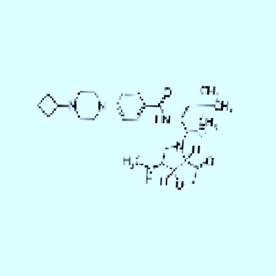 CN[C@H]1CN(C(=O)[C@H](CC(C)(C)C)NC(=O)c2ccc(N3CCN(C4CCC4)CC3)cc2)[C@@H]2C(=O)CO[C@H]12